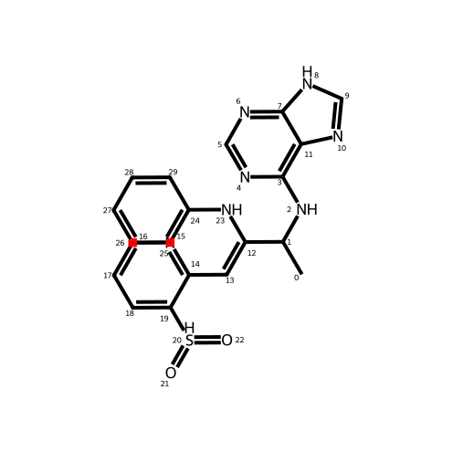 CC(Nc1ncnc2[nH]cnc12)/C(=C/c1ncccc1[SH](=O)=O)Nc1ccccc1